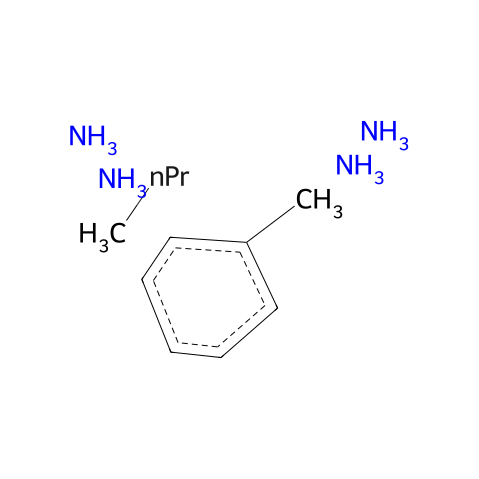 CCCC.Cc1ccccc1.N.N.N.N